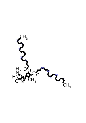 C=C1[C@H](COC(=O)CC/C=C\C/C=C\C/C=C\C/C=C\C/C=C\C/C=C\CC)[C@@H](OC(=O)CC/C=C\C/C=C\C/C=C\C/C=C\C/C=C\C/C=C\CC)C[C@@H]1n1cnc2c(=O)[nH]c(N)nc21